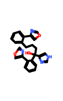 OC(CCCc1ccccc1-c1cocn1)(c1c[nH]cn1)c1ccccc1-c1cocn1